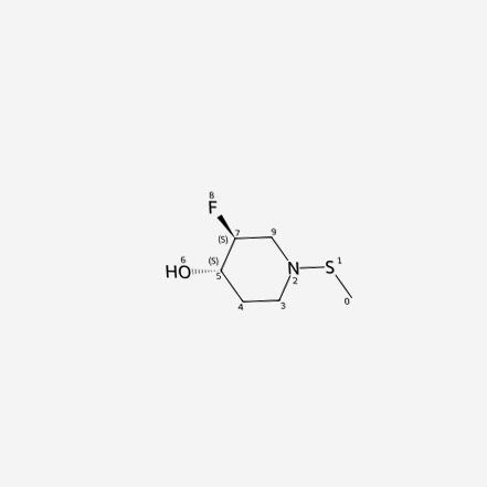 CSN1CC[C@H](O)[C@@H](F)C1